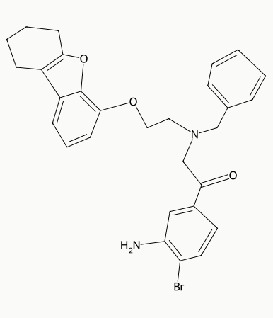 Nc1cc(C(=O)CN(CCOc2cccc3c4c(oc23)CCCC4)Cc2ccccc2)ccc1Br